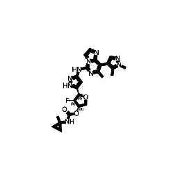 Cc1nc(Nc2cc([C@H]3OC[C@@H](OC(=O)NC4(C)CC4)[C@@H]3F)[nH]n2)n2ccnc2c1-c1cnn(C)c1C